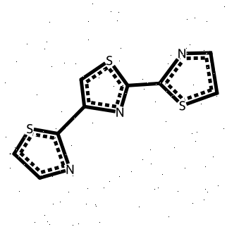 [c]1cnc(-c2csc(-c3nccs3)n2)s1